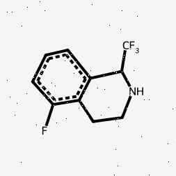 Fc1cccc2c1CCNC2C(F)(F)F